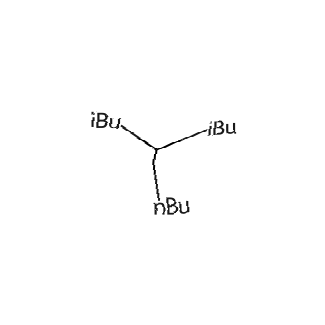 [CH2]CC(C)C(CCCC)C(C)CC